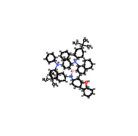 CC(C)(C)c1ccc(N2B3c4cc(N(c5ccccc5)c5ccccc5)ccc4N(c4ccc(C(C)(C)C)cc4-c4ccccc4)c4c3c(cc3ccccc43)-c3c2ccc2c3oc3ccccc32)cc1